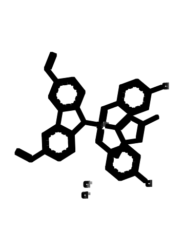 C=Cc1ccc2c(c1)-c1cc(C=C)ccc1[CH]2[Zr+2](=[CH]c1ccc(Cl)cc1)(=[CH]c1ccc(Cl)cc1)[C]1=CC(C)=CC1C.[Cl-].[Cl-]